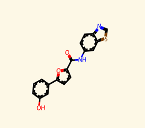 O=C(Nc1ccc2ncsc2c1)c1ccc(-c2cccc(O)c2)o1